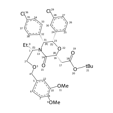 CC[C@@H](COCc1ccc(OC)c(OC)c1)N1C(=O)[C@@H](CC(=O)OC(C)(C)C)O[C@@H](c2cccc(Cl)c2)[C@H]1c1ccc(Cl)cc1